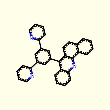 c1ccc(-c2cc(-c3ccccn3)cc(-c3c4ccccc4nc4c3ccc3ccccc34)c2)nc1